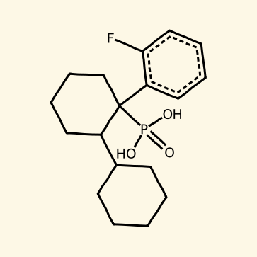 O=P(O)(O)C1(c2ccccc2F)CCCCC1C1CCCCC1